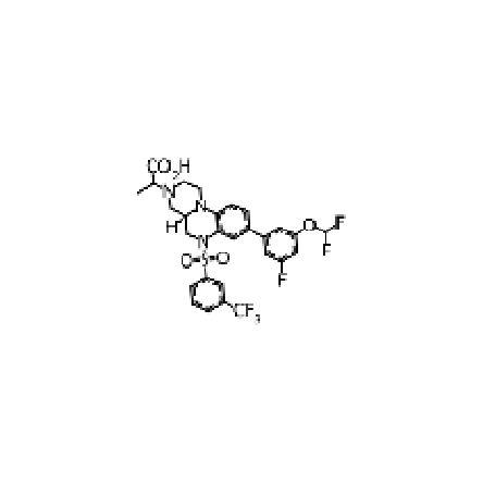 C[C@@H](C(=O)O)N1CCN2c3ccc(-c4cc(F)cc(OC(F)F)c4)cc3N(S(=O)(=O)c3cccc(C(F)(F)F)c3)C[C@@H]2C1